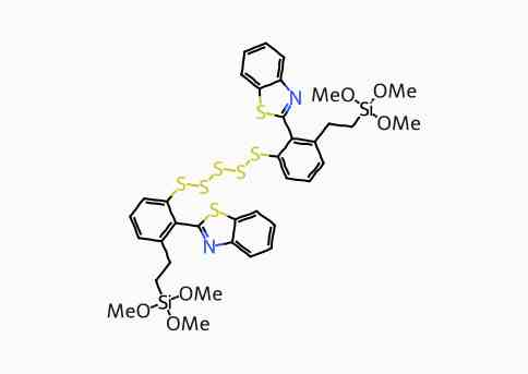 CO[Si](CCc1cccc(SSSSSc2cccc(CC[Si](OC)(OC)OC)c2-c2nc3ccccc3s2)c1-c1nc2ccccc2s1)(OC)OC